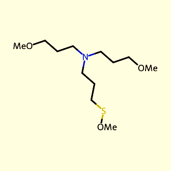 COCCCN(CCCOC)CCCSOC